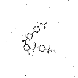 Cc1ccc(Nc2ncc(-c3ccc(OC(F)F)cc3)cn2)cc1NC(=O)N1CCN(S(C)(=O)=O)CC1